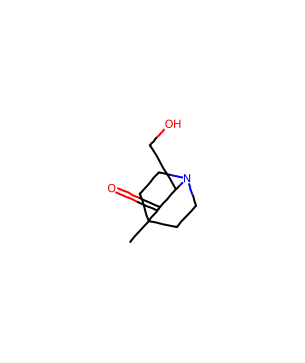 CC12CCN(CC1)C(CO)C2=O